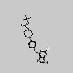 CC(C)(C)OC(=O)N1CCN(c2ccc(Oc3nc(Cl)nc4[nH]cnc34)cc2)CC1